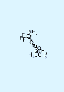 CC(C)(C)OC(=O)N1CC(OCc2cc(N)cc(C(F)(F)F)c2)C1